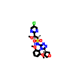 COc1cccc(OC)c1-n1c(NS(=O)(=O)[C@@H](C)[C@H](OC)c2ncc(Cl)cn2)nnc1[C@H]1CCOC1